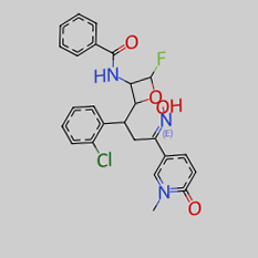 Cn1cc(/C(CC(c2ccccc2Cl)C2OC(F)C2NC(=O)c2ccccc2)=N/O)ccc1=O